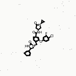 O=C(N[C@H]1CC(=O)N(C2CC2)C1)c1ccc(CN2CC(c3ccccc3)NC2=O)c(Oc2ccc(Cl)c(F)c2)c1